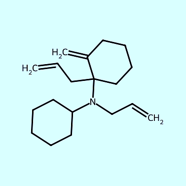 C=CCN(C1CCCCC1)C1(CC=C)CCCCC1=C